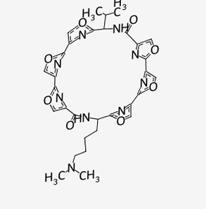 CC(C)C1NC(=O)c2coc(n2)-c2coc(n2)-c2coc(n2)C(CCCCN(C)C)NC(=O)c2coc(n2)-c2coc(n2)-c2coc1n2